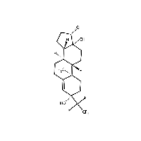 C[C@]12CC[C@H]3[C@@H](CCC4=C[C@](O)(C(F)(F)C(F)(F)F)CC[C@@]43C)[C@@H]1CC[C@@H]2O